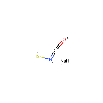 O=C=NS.[NaH]